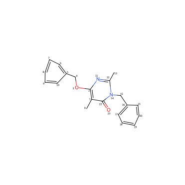 Cc1c(OCc2ccccc2)nc(C)n(Cc2ccccc2)c1=O